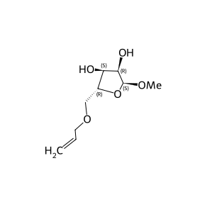 C=CCOC[C@H]1O[C@H](OC)[C@H](O)[C@@H]1O